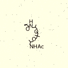 C=CC(=O)NCC(C)COCC(C)(C)COCC(C)CNC(C)=O